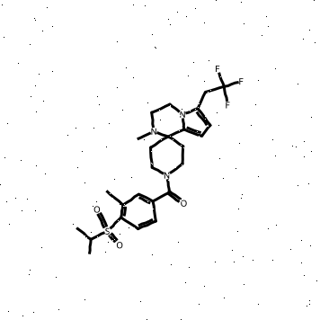 Cc1cc(C(=O)N2CCC3(CC2)c2ccc(CC(F)(F)F)n2CCN3C)ccc1S(=O)(=O)C(C)C